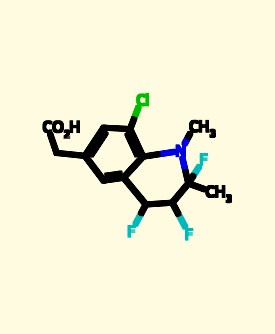 CN1c2c(Cl)cc(CC(=O)O)cc2C(F)C(F)C1(C)F